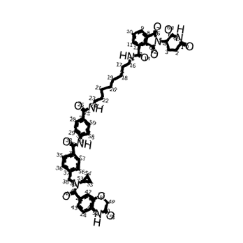 O=C1CCC(N2C(=O)c3cccc(C(=O)NCCCCCCCCNC(=O)c4ccc(NC(=O)c5ccc(CN(C(=O)c6ccc7c(c6)OCC(=O)N7)C6CC6)cc5)cc4)c3C2=O)C(=O)N1